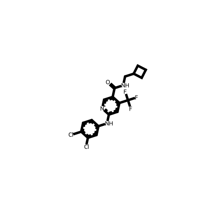 O=C(NCC1CCC1)c1cnc(Nc2ccc(Cl)c(Cl)c2)cc1C(F)(F)F